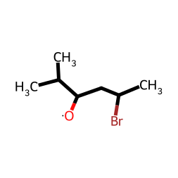 CC(Br)CC([O])C(C)C